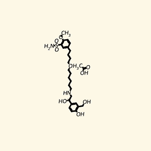 CC(=O)O.COc1ccc(CCCCOCCCCCCNC[C@H](O)c2ccc(O)c(CO)c2)cc1S(N)(=O)=O